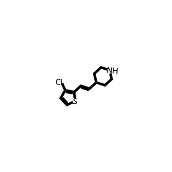 Clc1ccsc1/C=C/C1CCNCC1